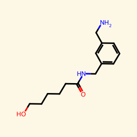 NCc1cccc(CNC(=O)CCCCCO)c1